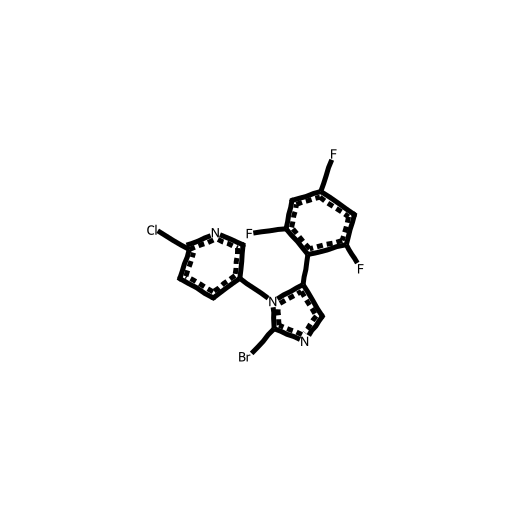 Fc1cc(F)c(-c2cnc(Br)n2-c2ccc(Cl)nc2)c(F)c1